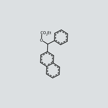 CCOC(=O)OC(c1ccccc1)c1ccc2ccccc2c1